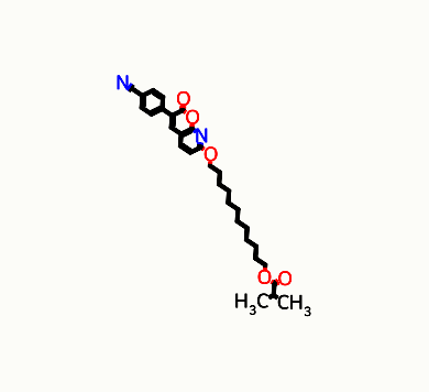 CC(C)C(=O)OCCCCCCCCCCCCOc1ccc2cc(-c3ccc(C#N)cc3)c(=O)oc2n1